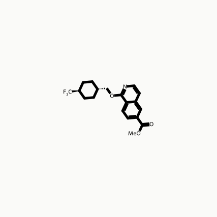 COC(=O)c1ccc2c(OC[C@H]3CC[C@H](C(F)(F)F)CC3)nccc2c1